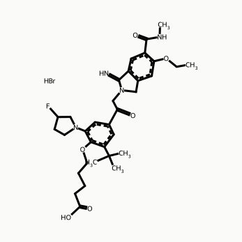 Br.CCOc1cc2c(cc1C(=O)NC)C(=N)N(CC(=O)c1cc(N3CCC(F)C3)c(OCCCCC(=O)O)c(C(C)(C)C)c1)C2